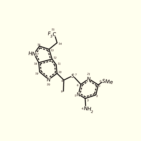 CSc1cc(N)nc(SC(C)c2cc3c(CC(F)(F)F)c[nH]c3cn2)n1